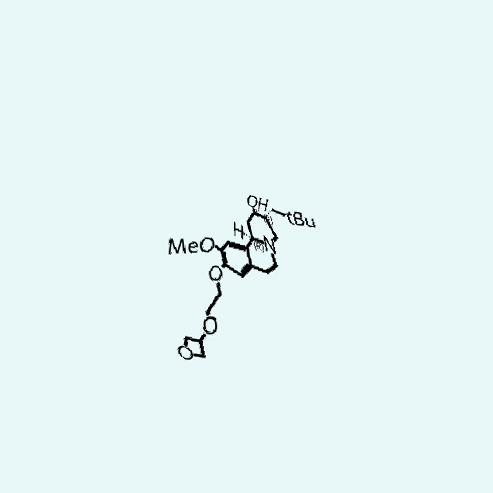 COc1cc2c(cc1OCCOC1COC1)CCN1C[C@@H](CC(C)(C)C)[C@H](O)C[C@H]21